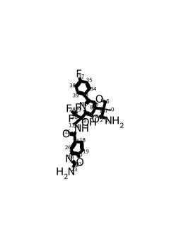 C[C@]1(C(N)=O)COc2c1cc(C(O)(CNC(=O)c1ccc3oc(N)nc3c1)C(F)(F)F)nc2-c1ccc(F)cc1